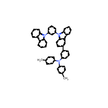 Cc1ccc(N(c2ccc(C)cc2)c2cccc(-c3ccc4c(c3)c3ccccc3n4-c3cccc(-n4c5ccccc5c5ccccc54)c3)c2)cc1